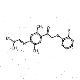 CCN(C)C=Nc1cc(C)c(C(=O)CSc2ccccc2F)cc1C